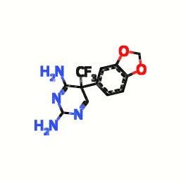 NC1=NC(N)N=CC1(c1ccc2c(c1)OCO2)C(F)(F)F